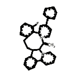 C=C1C2C(CCc3cccc(F)c3-c3cc(-c4ccccc4)cc[n+]31)c1ccccc1-c1cccc[n+]12